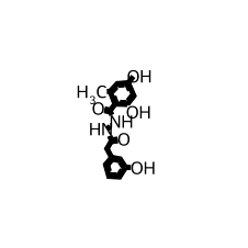 Cc1cc(O)cc(O)c1C(=O)NNC(=O)Cc1cccc(O)c1